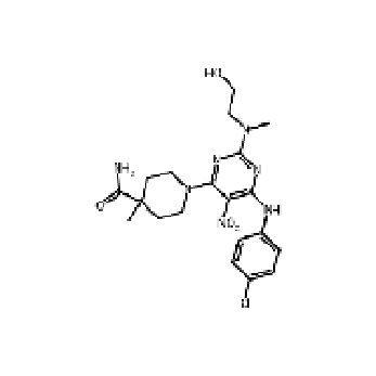 CN(CCO)c1nc(Nc2ccc(Cl)cc2)c([N+](=O)[O-])c(N2CCC(C)(C(N)=O)CC2)n1